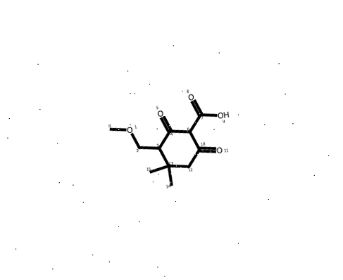 COCC1C(=O)C(C(=O)O)C(=O)CC1(C)C